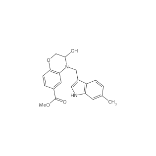 COC(=O)c1ccc2c(c1)N(Cc1c[nH]c3cc(C)ccc13)C(O)CO2